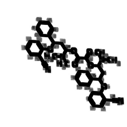 CN(C)C(CC(Oc1ccccc1C#N)c1ccccc1)OC(=O)C(=O)OC(CC(Oc1ccccc1C#N)c1ccccc1)N(C)C